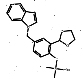 CC(C)(C)[Si](C)(C)Oc1ccc(Cn2ccc3ccccc32)cc1C1OCCO1